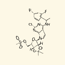 CC(Nc1nc(Cl)nc2c1ccn2[C@@H]1O[C@H](COS(C)(=O)=O)[C@H]2OC(C)(C)O[C@H]21)c1ccc(F)cc1F